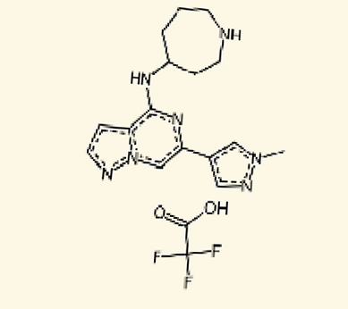 Cn1cc(-c2cn3nccc3c(NC3CCCNCC3)n2)cn1.O=C(O)C(F)(F)F